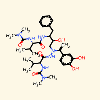 C=C(c1ccc(O)c(O)c1)N(CC(O)C(Cc1ccccc1)NC(=O)[C@@H](NC(=O)N(C)C)C(C)C)NC(=O)[C@@H](NC(=O)N(C)C)C(C)C